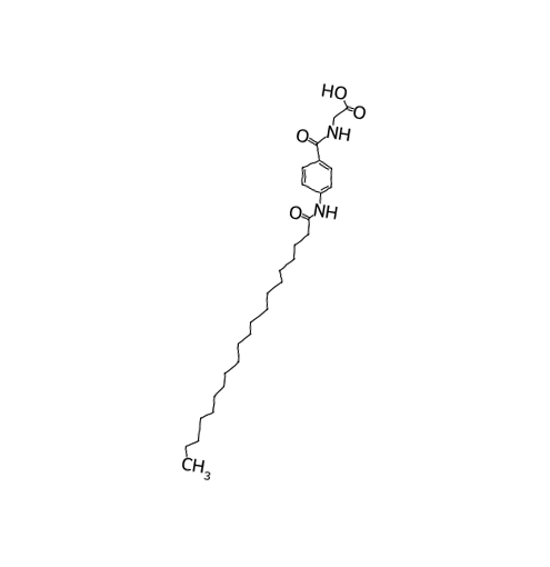 CCCCCCCCCCCCCCCCCCCC(=O)Nc1ccc(C(=O)NCC(=O)O)cc1